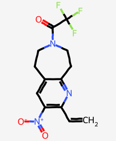 C=Cc1nc2c(cc1[N+](=O)[O-])CCN(C(=O)C(F)(F)F)CC2